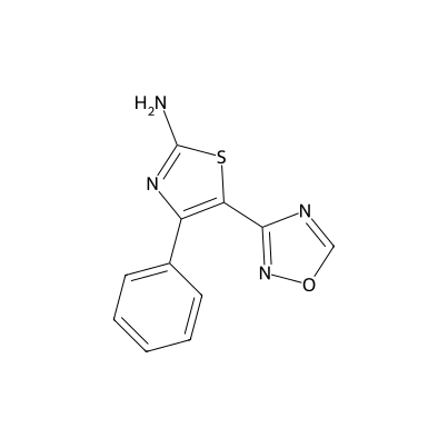 Nc1nc(-c2ccccc2)c(-c2ncon2)s1